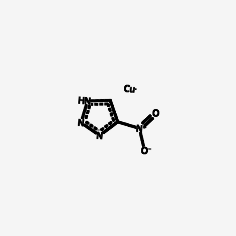 O=[N+]([O-])c1c[nH]nn1.[Cu]